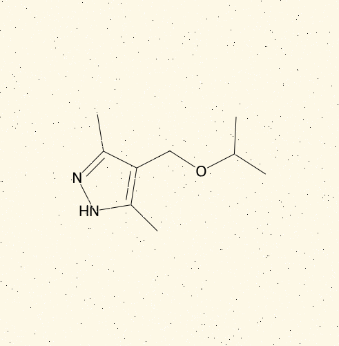 Cc1n[nH]c(C)c1COC(C)C